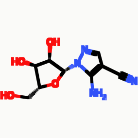 N#Cc1cnn([C@@H]2O[C@H](CO)[C@@H](O)[C@H]2O)c1N